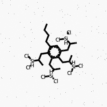 CCCCc1cc(CC(C)[SiH](Cl)Cl)c(CC(C)[SiH](Cl)Cl)c(CC(C)[SiH](Cl)Cl)c1CC(C)[SiH](Cl)Cl